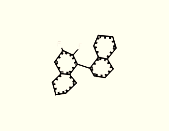 Fc1cc2ccccc2c(-c2cccc3ccccc23)c1F